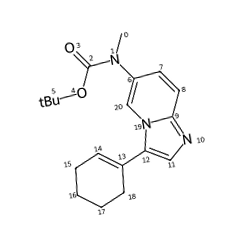 CN(C(=O)OC(C)(C)C)c1ccc2ncc(C3=CCCCC3)n2c1